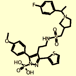 COc1ccc(-c2c(CCNS(=O)(=O)CC3CCN(C(C)c4ccc(F)cc4)C3)c(-c3cccs3)nn2P(=O)(O)O)cc1